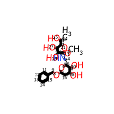 CO[C@@]1(NC[C@H]2O[C@H](OCc3ccccc3)[CH][C@@H](O)[C@@H]2O)O[C@H]([C@@H](C)O)[C@H](O)[C@H]1O